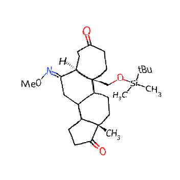 CO/N=C1\CC2C(CC[C@]3(C)C(=O)CCC23)[C@@]2(CO[Si](C)(C)C(C)(C)C)CCC(=O)C[C@H]12